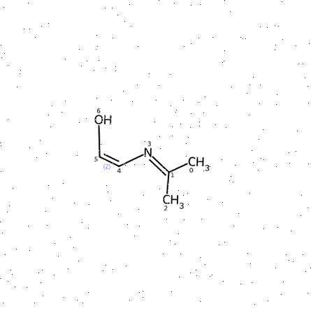 CC(C)=N/C=C\O